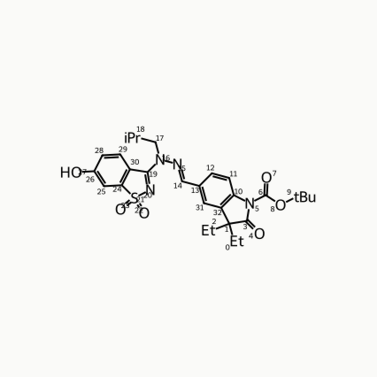 CCC1(CC)C(=O)N(C(=O)OC(C)(C)C)c2ccc(/C=N/N(CC(C)C)C3=NS(=O)(=O)c4cc(O)ccc43)cc21